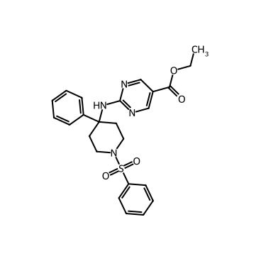 CCOC(=O)c1cnc(NC2(c3ccccc3)CCN(S(=O)(=O)c3ccccc3)CC2)nc1